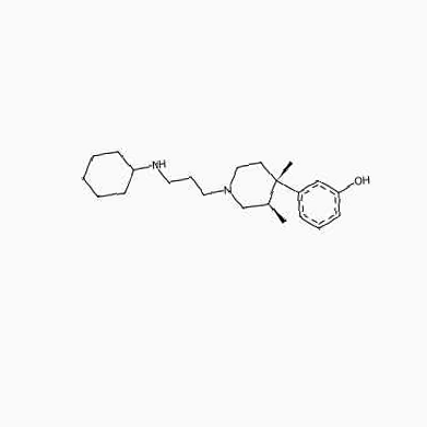 C[C@H]1CN(CCCNC2CCCCC2)CC[C@]1(C)c1cccc(O)c1